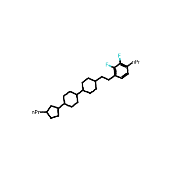 CCCc1ccc(CCC2CCC(C3CCC(C4CCC(CCC)C4)CC3)CC2)c(F)c1F